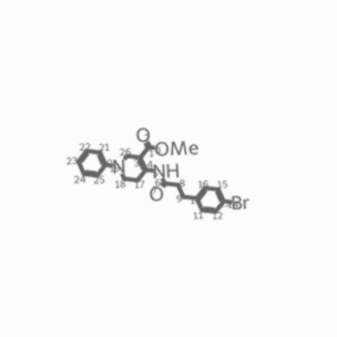 COC(=O)C1=C(NC(=O)CCc2ccc(Br)cc2)CCN(c2ccccc2)C1